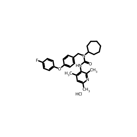 Cc1cc(C)c(NC(=O)N(Cc2ccc(Oc3ccc(F)cc3)cc2)C2CCCCCC2)c(C)n1.Cl